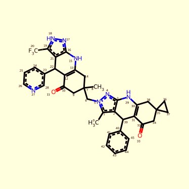 Cc1c2c(nn1CC1(C)CC(=O)C3=C(C1)Nc1n[nH]c(C(F)(F)F)c1C3c1cccnc1)NC1=C(C(=O)CC3(CC3)C1)C2c1ccccc1